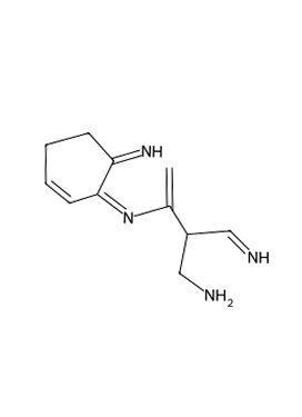 C=C(/N=C1/C=CCCC1=N)C(C=N)CN